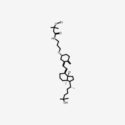 C=C1CC[C@H](OCCCNC(=O)CC(C)(C)OCC)C/C1=C/C=C1\CCC[C@]2(C)C([C@H](C)CCCC(C)(C)O)CC[C@@H]12